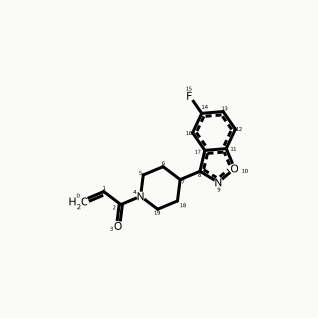 C=CC(=O)N1CCC(c2noc3ccc(F)cc23)CC1